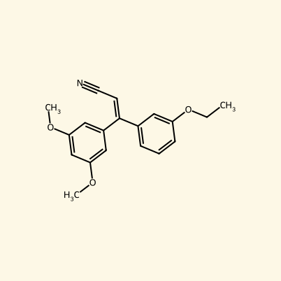 CCOc1cccc(C(=CC#N)c2cc(OC)cc(OC)c2)c1